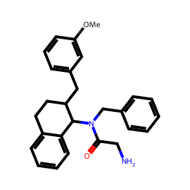 COc1cccc(CC2CCc3ccccc3C2N(Cc2ccccc2)C(=O)CN)c1